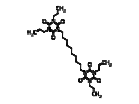 C=CCn1c(=O)n(CC=C)c(=O)n(CCCCCCCCCCn2c(=O)n(CC=C)c(=O)n(CC=C)c2=O)c1=O